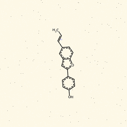 C/C=C/c1ccc2oc(-c3ccc(O)cc3)cc2c1